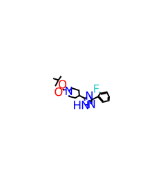 CC(C)(C)OC(=O)N1CCC(c2nc(-c3ccccc3F)n[nH]2)CC1